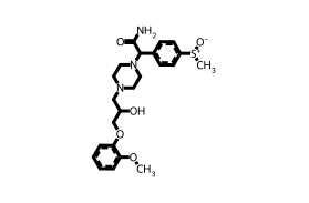 COc1ccccc1OCC(O)CN1CCN(C(C(N)=O)c2ccc([S+](C)[O-])cc2)CC1